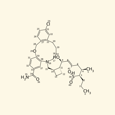 CCC[C@H]([C@H](C)C/C=C/[C@H](O)[C@@H]1CC[C@H]1CN1CCCCc2cc(Cl)ccc2COc2ccc(C(N)=O)cc21)[SH](=O)=O